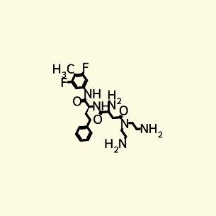 Cc1c(F)cc(NC(=O)[C@H](CCc2ccccc2)NC(=O)[C@@H](N)CC(=O)N(CCN)CCN)cc1F